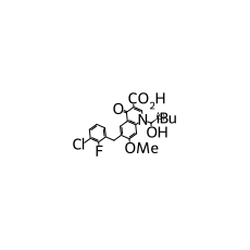 CC[C@H](C)C(O)n1cc(C(=O)O)c(=O)c2cc(Cc3cccc(Cl)c3F)c(OC)cc21